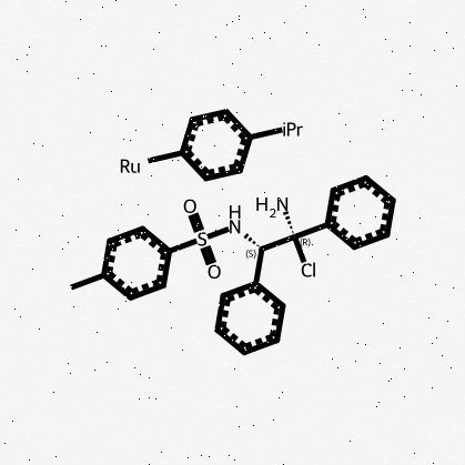 Cc1ccc(C(C)C)cc1.Cc1ccc(S(=O)(=O)N[C@@H](c2ccccc2)[C@](N)(Cl)c2ccccc2)cc1.[Ru]